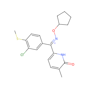 CSc1ccc(/C(=N\OC2CCCC2)c2ccc(C)c(=O)[nH]2)cc1Cl